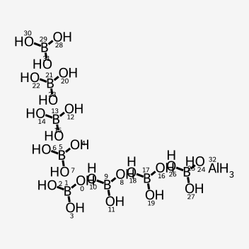 OB(O)O.OB(O)O.OB(O)O.OB(O)O.OB(O)O.OB(O)O.OB(O)O.OB(O)O.[AlH3]